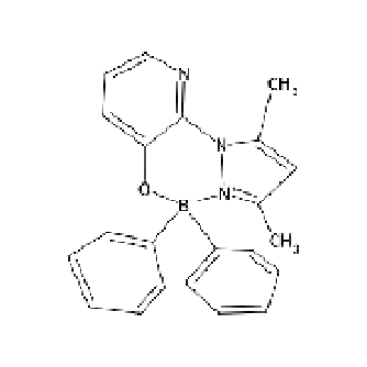 Cc1cc(C)[n+]2n1-c1ncccc1O[B-]2(c1ccccc1)c1ccccc1